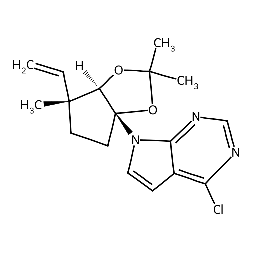 C=C[C@@]1(C)CC[C@@]2(n3ccc4c(Cl)ncnc43)OC(C)(C)O[C@H]12